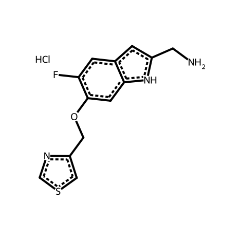 Cl.NCc1cc2cc(F)c(OCc3cscn3)cc2[nH]1